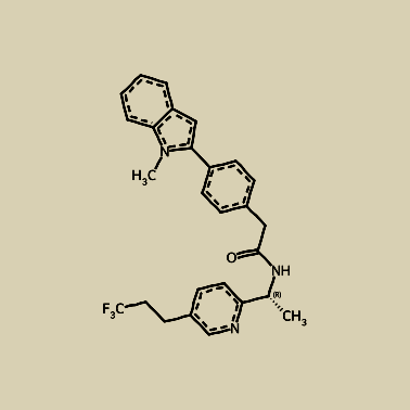 C[C@@H](NC(=O)Cc1ccc(-c2cc3ccccc3n2C)cc1)c1ccc(CCC(F)(F)F)cn1